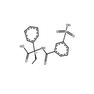 CC[C@@](NC(=O)c1cccc(S(=O)(=O)O)c1)(C(=O)O)c1ccccc1